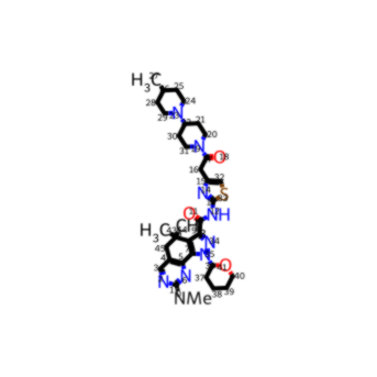 CNc1ncc2c(n1)-c1c(c(C(=O)Nc3nc(CC(=O)N4CCC(N5CCC(C)CC5)CC4)cs3)nn1C1CCCCO1)C(C)(C)C2